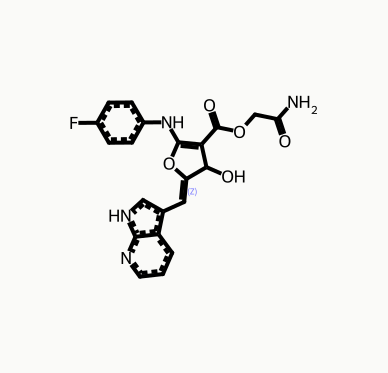 NC(=O)COC(=O)C1=C(Nc2ccc(F)cc2)O/C(=C\c2c[nH]c3ncccc23)C1O